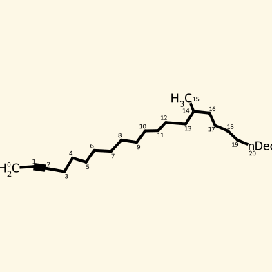 [CH2]C#CCCCCCCCCCCCC(C)CCCCCCCCCCCCC[CH2]